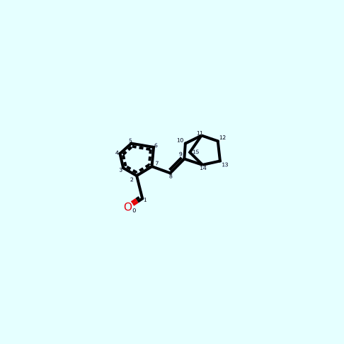 O=Cc1ccccc1C=C1CC2CCC1C2